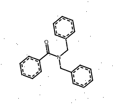 O=C(c1ccccc1)N(Cc1ccccc1)Cc1ccccc1